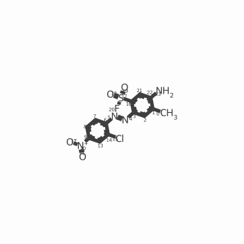 Cc1cc(N=Nc2ccc([N+](=O)[O-])cc2Cl)c(S(=O)(=O)F)cc1N